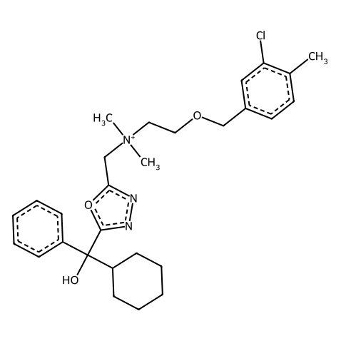 Cc1ccc(COCC[N+](C)(C)Cc2nnc(C(O)(c3ccccc3)C3CCCCC3)o2)cc1Cl